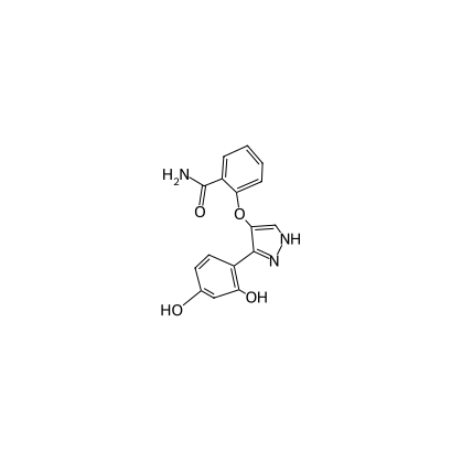 NC(=O)c1ccccc1Oc1c[nH]nc1-c1ccc(O)cc1O